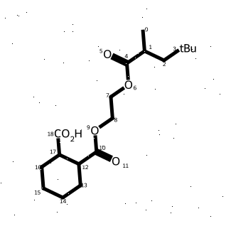 CC(CC(C)(C)C)C(=O)OCCOC(=O)C1CCCCC1C(=O)O